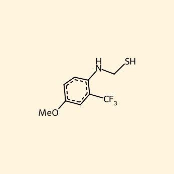 COc1ccc(NCS)c(C(F)(F)F)c1